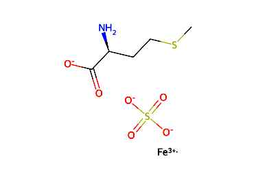 CSCC[C@H](N)C(=O)[O-].O=S(=O)([O-])[O-].[Fe+3]